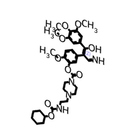 COc1ccc(/C(C=N)=C(/O)c2cc(OC)c(OC)c(OC)c2)cc1OC(=O)N1CCN(CCNC(=O)OC2CCCCC2)CC1